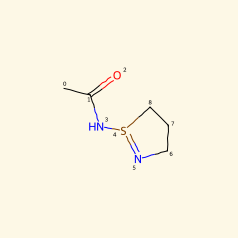 CC(=O)NS1=NCCC1